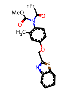 CCCC(=O)N(C(=O)OC)c1ccc(OCc2nc3ccccc3s2)cc1C